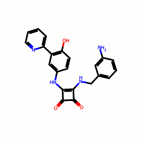 Nc1cccc(CNc2c(Nc3ccc(O)c(-c4ccccn4)c3)c(=O)c2=O)c1